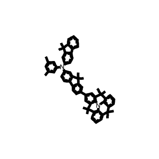 Cc1cc(C)cc(N(c2ccc3c(c2)C(C)(C)c2ccccc2-3)c2ccc3c(c2)C(C)(C)c2cc(-c4cc5c6c(c4)C(C)(C)c4cccc7c4N6c4c(cccc4C5(C)C)C7(C)C)ccc2-3)c1